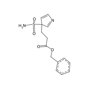 NS(=O)(=O)C1(CCC(=O)OCc2ccccc2)C=CN=C1